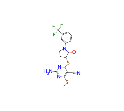 CSc1nc(N)nc(SC2CCN(c3cccc(C(F)(F)F)c3)C2=O)c1C#N